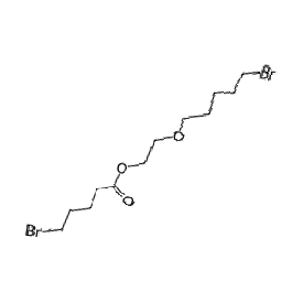 O=C(CCCCBr)OCCOCCCCCBr